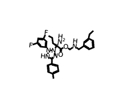 CCC[C@@](N)(C(=O)OCNCc1cccc(CC)c1)N1N=C(c2ccc(C)cc2)NN1c1cc(F)cc(F)c1